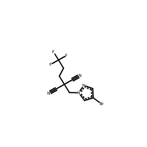 N#CC(C#N)(CCC(F)(F)F)Cn1cc(Br)cn1